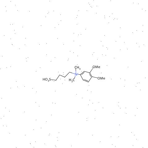 COc1ccc([N+](C)(C)CCCCS(=O)(=O)O)cc1OC